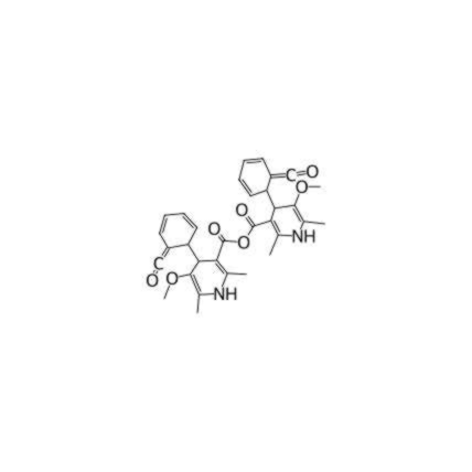 COC1=C(C)NC(C)=C(C(=O)OC(=O)C2=C(C)NC(C)=C(OC)C2C2C=CC=CC2=C=O)C1C1C=CC=CC1=C=O